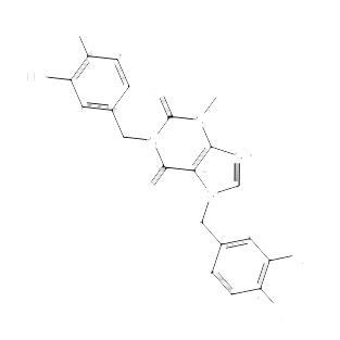 Cn1c(=O)n(Cc2ccc(O)c(O)c2)c(=O)c2c1ncn2Cc1ccc(O)c(O)c1